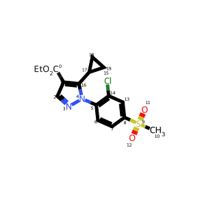 CCOC(=O)c1cnn(-c2ccc(S(C)(=O)=O)cc2Cl)c1C1CC1